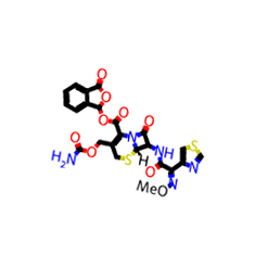 CO/N=C(\C(=O)NC1C(=O)N2C(C(=O)OC3OC(=O)c4ccccc43)=C(COC(N)=O)CS[C@@H]12)c1cscn1